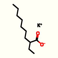 CCCCCCCC(CC)C(=O)[O-].[K+]